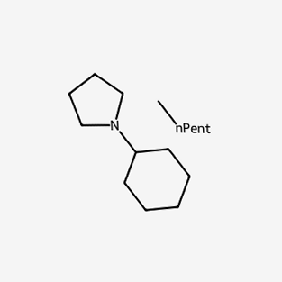 C1CCC(N2CCCC2)CC1.CCCCCC